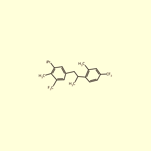 Cc1cc(C(F)(F)F)ccc1C(C)Cc1cc(C(C)C)c(C)c(C(F)(F)F)c1